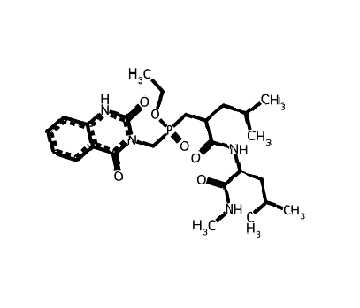 CCOP(=O)(CC(CC(C)C)C(=O)N[C@@H](CC(C)C)C(=O)NC)Cn1c(=O)[nH]c2ccccc2c1=O